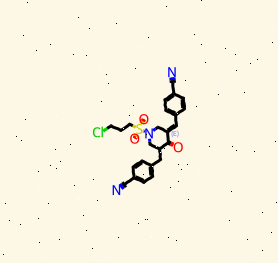 N#Cc1ccc(/C=C2\CN(S(=O)(=O)CCCCl)CC(Cc3ccc(C#N)cc3)C2=O)cc1